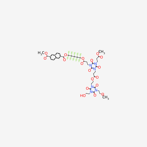 COCCn1c(=O)n(CCO)c(=O)n(CCOC(=O)CCn2c(=O)n(CCC(=O)OC)c(=O)n(CCC(=O)OC(F)(F)C(F)(F)C(F)(F)C(F)(F)C(F)(F)OC(=O)c3ccc4cc(C(=O)OC)ccc4c3)c2=O)c1=O